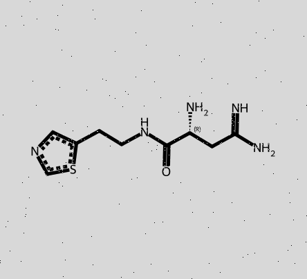 N=C(N)C[C@@H](N)C(=O)NCCc1cncs1